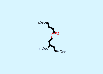 CCCCCCCCCCCCCC(=O)OCCC(CCCCCCCCCC)CCCCCCCCCCCC